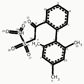 Cc1cc(C)c(-c2ccccc2C(=O)CS(=O)(=O)[SH](=O)=O)c(C)c1